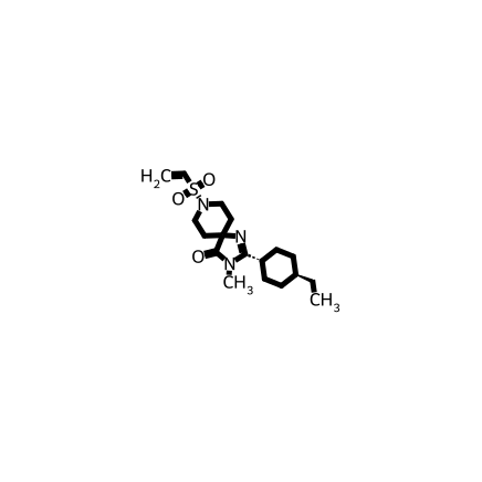 C=CS(=O)(=O)N1CCC2(CC1)N=C([C@H]1CC[C@H](CC)CC1)N(C)C2=O